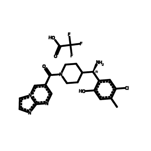 Cc1cc(O)c([C@H](N)C2CCN(C(=O)c3cnc4nccn4c3)CC2)cc1Cl.O=C(O)C(F)(F)F